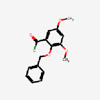 COc1cc(OC)c(OCc2ccccc2)c(C(=O)Cl)c1